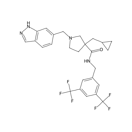 O=C(NCc1cc(C(F)(F)F)cc(C(F)(F)F)c1)C1(CC2CC2)CCN(Cc2ccc3cn[nH]c3c2)C1